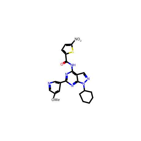 COc1cncc(-c2nc(NC(=O)c3ccc([N+](=O)[O-])s3)c3cnn(C4CCCCC4)c3n2)c1